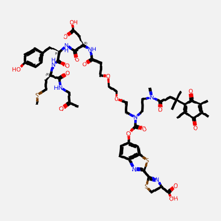 CSCC[C@@H](NC(=O)[C@@H](Cc1ccc(O)cc1)NC(=O)[C@@H](CC(=O)O)NC(=O)CCOCCOCCN(CCN(C)C(=O)CC(C)(C)C1=C(C)C(=O)C(C)=C(C)C1=O)C(=O)Oc1ccc2nc(C3=NC(C(=O)O)CS3)sc2c1)C(=O)NCC(C)=O